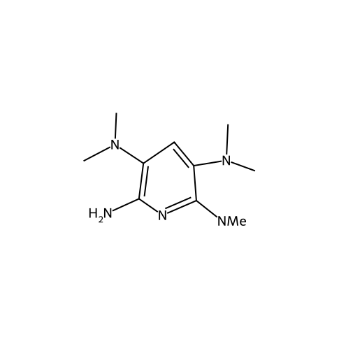 CNc1nc(N)c(N(C)C)cc1N(C)C